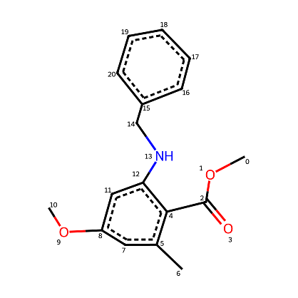 COC(=O)c1c(C)cc(OC)cc1NCc1ccccc1